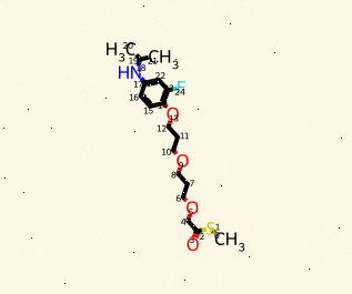 CSC(=O)COCCCOCCCOc1ccc(NC(C)C)cc1F